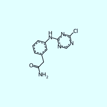 NC(=O)Cc1cccc(Nc2ncnc(Cl)n2)c1